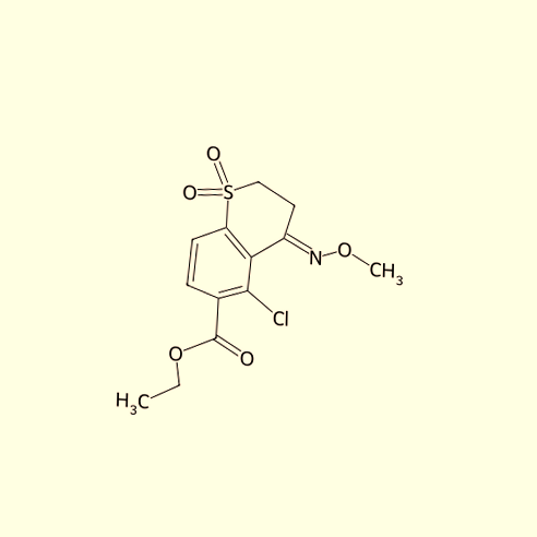 CCOC(=O)c1ccc2c(c1Cl)C(=NOC)CCS2(=O)=O